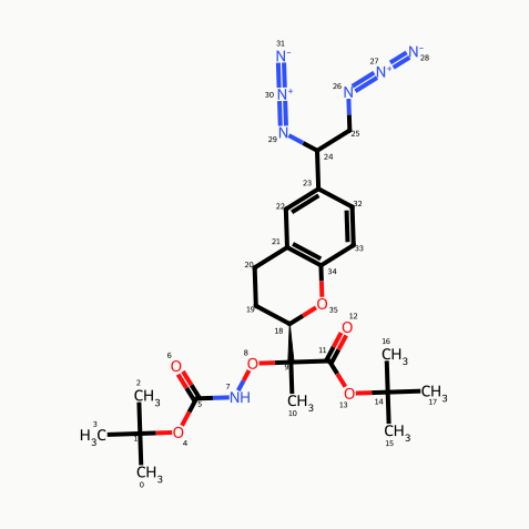 CC(C)(C)OC(=O)NOC(C)(C(=O)OC(C)(C)C)[C@H]1CCc2cc(C(CN=[N+]=[N-])N=[N+]=[N-])ccc2O1